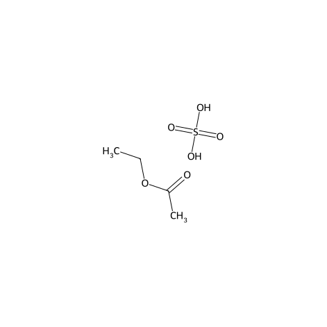 CCOC(C)=O.O=S(=O)(O)O